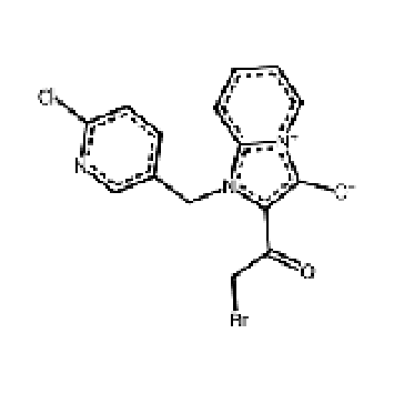 O=C(CBr)c1c([O-])[n+]2ccccc2n1Cc1ccc(Cl)nc1